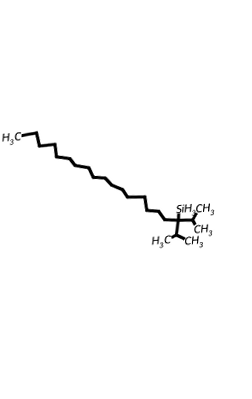 CCCCCCCCCCCCCCCCCC([SiH3])(C(C)C)C(C)C